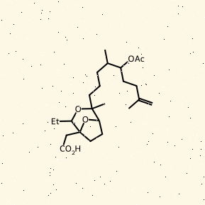 C=C(C)CCC(OC(C)=O)C(C)CCCC1(C)OC(CC)C2(CC(=O)O)CCC1O2